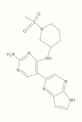 CS(=O)(=O)N1CCCC(Nc2nc(N)ncc2-c2cnc3[nH]ccc3n2)C1